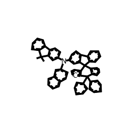 CC1(C)c2ccccc2-c2ccc(N(c3ccc4c(c3)C3(c5ccccc5-4)c4ccccc4C(c4ccccc4)(c4ccccc4)c4ccccc43)c3ccc4ccccc4c3)cc21